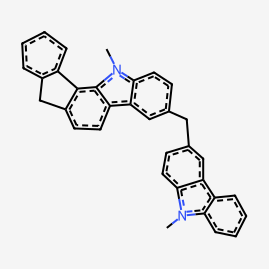 Cn1c2ccccc2c2cc(Cc3ccc4c(c3)c3ccc5c(c3n4C)-c3ccccc3C5)ccc21